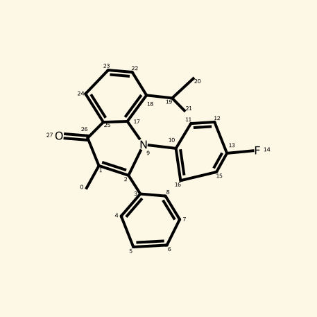 Cc1c(-c2ccccc2)n(-c2ccc(F)cc2)c2c(C(C)C)cccc2c1=O